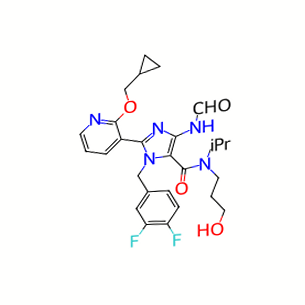 CC(C)N(CCCO)C(=O)c1c(NC=O)nc(-c2cccnc2OCC2CC2)n1Cc1ccc(F)c(F)c1